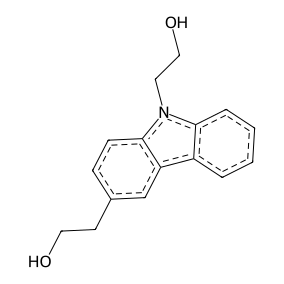 OCCc1ccc2c(c1)c1ccccc1n2CCO